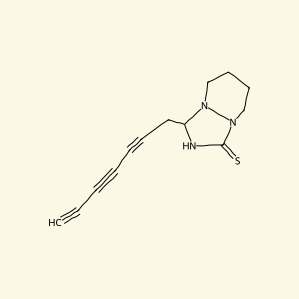 C#CC#CC#CCC1NC(=S)N2CCCCN12